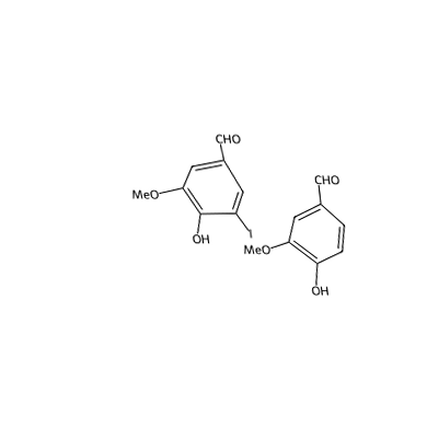 COc1cc(C=O)cc(I)c1O.COc1cc(C=O)ccc1O